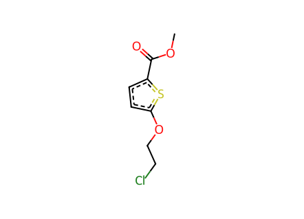 COC(=O)c1ccc(OCCCl)s1